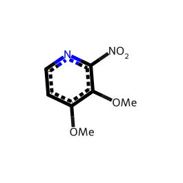 COc1ccnc([N+](=O)[O-])c1OC